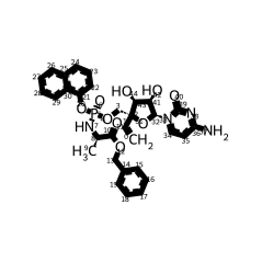 C=C[C@]1(COP(=O)(N[C@@H](C)C(=O)OCc2ccccc2)Oc2cccc3ccccc23)O[C@@H](n2ccc(N)nc2=O)[C@H](O)[C@@H]1O